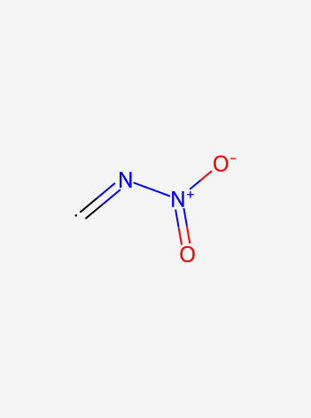 [CH]=N[N+](=O)[O-]